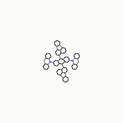 c1ccc2c(c1)Cc1ccccc1N2c1ccc2c(-c3ccc4c5c(cccc35)-c3ccccc3-4)c3cc(N4c5ccccc5Cc5ccccc54)ccc3c(-c3ccc4c5c(cccc35)-c3ccccc3-4)c2c1